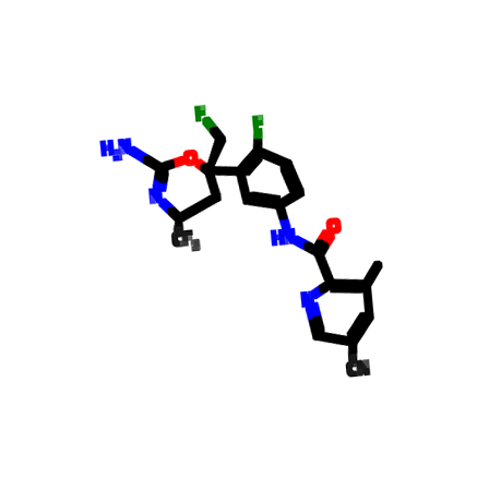 Cc1cc(C#N)cnc1C(=O)Nc1ccc(F)c([C@]2(CF)C[C@@H](C(F)(F)F)N=C(N)O2)c1